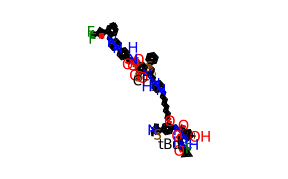 Cc1ncsc1-c1ccc(CNC(=O)[C@@H]2C[C@@H](O)CN2C(=O)[C@@H](NC(=O)C2(F)CC2)C(C)(C)C)c(OCCCCCCCCN2CCN(CC[C@H](CSc3ccccc3)Nc3ccc(S(=O)(=O)NC(=O)c4ccc(N5CCN(CC6=C(C78CC(C(F)F)(C7)C8)CC(C)(C)CC6)CC5)cc4)cc3S(=O)(=O)C(F)(F)F)CC2)c1